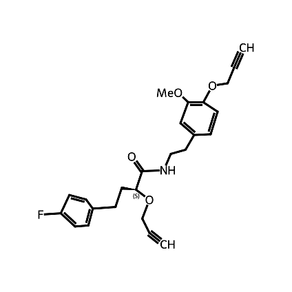 C#CCOc1ccc(CCNC(=O)[C@H](CCc2ccc(F)cc2)OCC#C)cc1OC